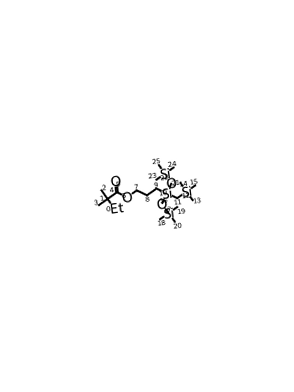 CCC(C)(C)C(=O)OCCC[Si](C[Si](C)(C)C)(O[Si](C)(C)C)O[Si](C)(C)C